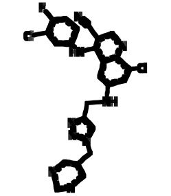 N#Cc1cnc2c(Cl)cc(NCc3cn(Cc4cncnc4)nn3)cc2c1Nc1ccc(F)c(Cl)c1